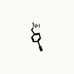 C#Cc1ccc(CNC)cc1